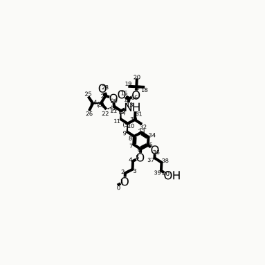 COCCCOc1cc(C[C@@H](C[C@H](NC(=O)OC(C)(C)C)[C@@H]2C[C@@H](C(C)C)C(=O)O2)C(C)C)ccc1OCCCO